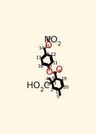 CC1=CC(C)(C(=O)O)C(C(=O)Oc2ccc(CO[N+](=O)[O-])cc2)C=C1